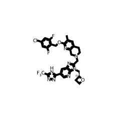 Cc1cc2c(nc1OCc1c(F)cc(Cl)cc1F)CN(Cc1nc3cc(-c4nnc(C(F)(F)F)[nH]4)cnc3n1C[C@@H]1CCO1)CC2